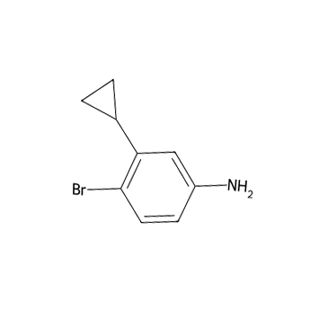 Nc1ccc(Br)c(C2CC2)c1